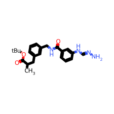 CC(Cc1cccc(CNC(=O)c2cccc(NC=NN)c2)c1)C(=O)OC(C)(C)C